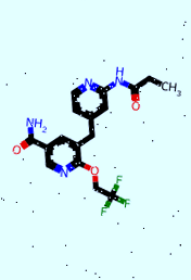 CCC(=O)Nc1cc(Cc2cc(C(N)=O)cnc2OCC(F)(F)F)ccn1